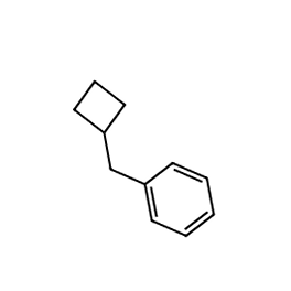 c1ccc(CC2CCC2)cc1